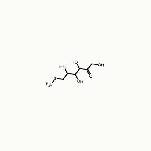 O=C(CO)C(O)C(O)C(O)CSC(F)(F)F